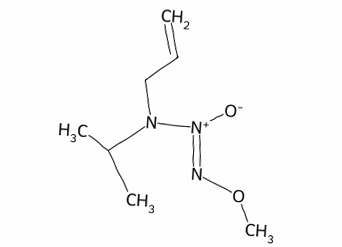 C=CCN(C(C)C)[N+]([O-])=NOC